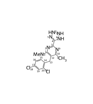 CNc1nc(C2=NNNN2)nc(C)c1Cc1ccc(Cl)cc1Cl